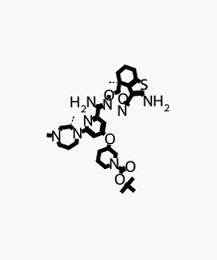 C[C@H]1CN(C)CCCN1c1cc(OC2CCCN(C(=O)OC(C)(C)C)C2)cc(/C(N)=N/OC(=O)[C@@]2(C)CCCc3sc(N)c(C#N)c32)n1